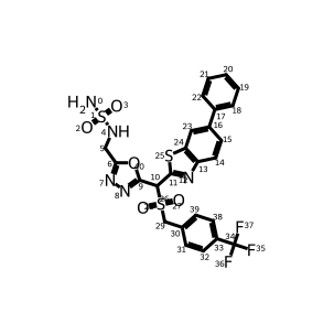 NS(=O)(=O)NCc1nnc(C(c2nc3ccc(-c4ccccc4)cc3s2)S(=O)(=O)Cc2ccc(C(F)(F)F)cc2)o1